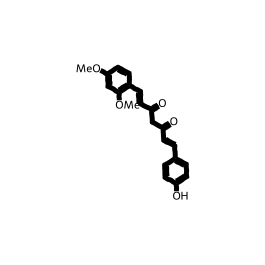 COc1ccc(C=CC(=O)CC(=O)C=Cc2ccc(O)cc2)c(OC)c1